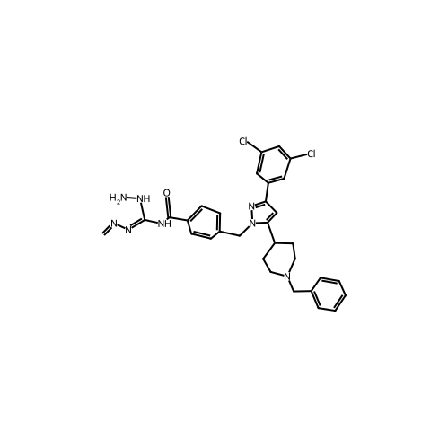 C=N/N=C(\NN)NC(=O)c1ccc(Cn2nc(-c3cc(Cl)cc(Cl)c3)cc2C2CCN(Cc3ccccc3)CC2)cc1